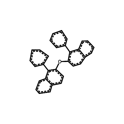 c1ccc(-c2c(Oc3ccc4ccccc4c3-c3ccccc3)ccc3ccccc23)cc1